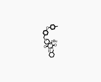 CCCCN1C(=O)[C@H](CC2CCCCC2)NC(=O)C12CCN(Cc1ccc(Oc3ccc(C)cc3)cc1)CC2